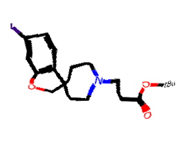 CC(C)(C)OC(=O)CCN1CCC2(CC1)COc1cc(I)ccc12